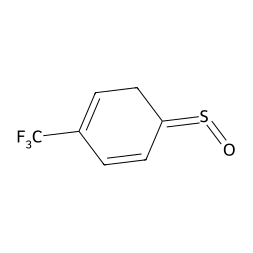 O=S=C1C=CC(C(F)(F)F)=CC1